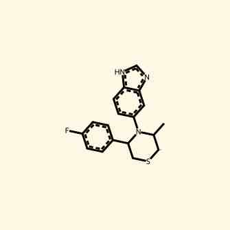 CC1[CH]SCC(c2ccc(F)cc2)N1c1ccc2[nH]cnc2c1